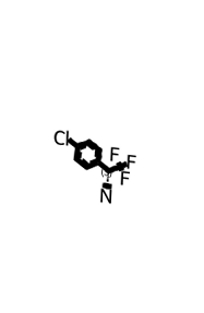 N#C[C@H](c1ccc(Cl)cc1)C(F)(F)F